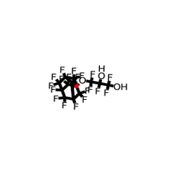 OC(F)(F)C(O)(F)C(F)(F)OC12C(F)(F)C3(F)C(F)(F)C(F)(C(F)(F)C(F)(C3(F)F)C1(F)F)C2(F)F